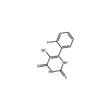 N#Cc1c(-c2ccccc2F)[nH]c(=S)[nH]c1=O